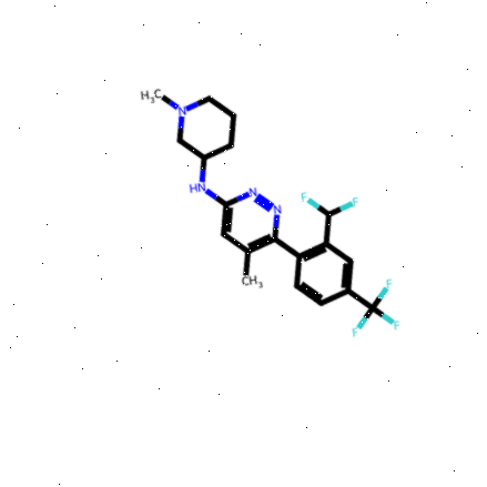 Cc1cc(NC2CCCN(C)C2)nnc1-c1ccc(C(F)(F)F)cc1C(F)F